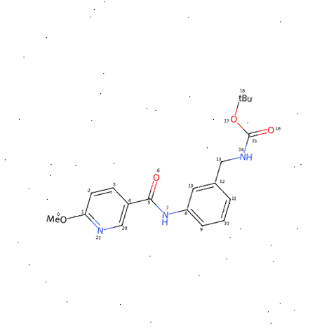 COc1ccc(C(=O)Nc2cccc(CNC(=O)OC(C)(C)C)c2)cn1